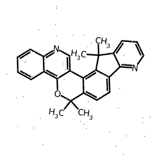 CC1(C)Oc2c(cnc3ccccc23)-c2c1ccc1c2C(C)(C)c2cccnc2-1